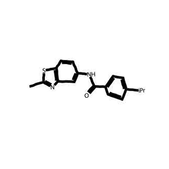 Cc1nc2cc(NC(=O)c3ccc(C(C)C)cc3)ccc2s1